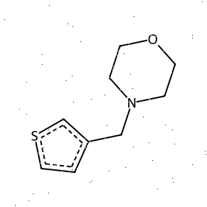 c1cc(CN2CCOCC2)cs1